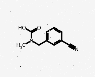 CN(Cc1cccc(C#N)c1)C(=O)O